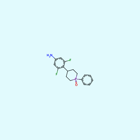 Nc1cc(F)c(C2CCP(=O)(c3ccccc3)CC2)c(F)c1